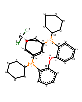 [Cl][Pd][Cl].c1ccc([PH+](C2CCCCC2)C2CCCCC2)c(Oc2ccccc2[PH+](C2CCCCC2)C2CCCCC2)c1